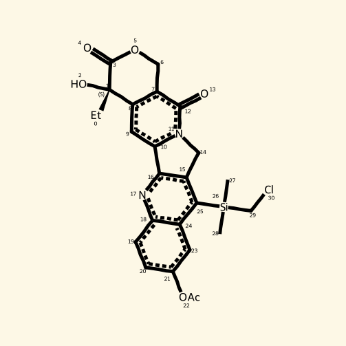 CC[C@@]1(O)C(=O)OCc2c1cc1n(c2=O)Cc2c-1nc1ccc(OC(C)=O)cc1c2[Si](C)(C)CCl